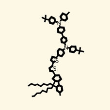 CCCCCCCCC1(CCCCCCCC)c2cc(C)ccc2-c2ccc(-c3ccc(-c4ccc(-c5ccc(N(c6ccc(-c7ccc(N(c8ccc(C)cc8)c8ccc(C(C)(C)C)cc8)cc7)cc6)c6ccc(C(C)(C)C)cc6)cc5)s4)s3)cc21